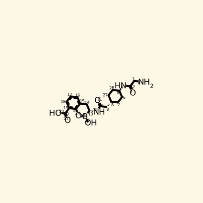 NCC(=O)N[C@H]1CC[C@H](CC(=O)N[C@H]2Cc3cccc(C(=O)O)c3OB2O)CC1